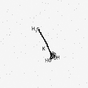 CCCCCCCCCCCCCCCCCCCCCC(=O)N1C[C@H](O)C[C@H]1C(=O)O.[K]